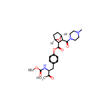 CN1CCN(C(=O)C2C(C(=O)Oc3ccc(CC(NC(=O)OC(C)(C)C)C(=O)C(=O)O)cc3)[C@H]3CC[C@@H]2O3)CC1